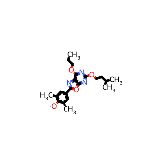 CCCOc1nc(OCCC(C)C)nc2oc(-c3cc(C)c([O])c(C)c3)nc12